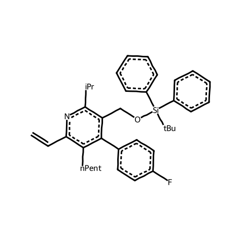 C=Cc1nc(C(C)C)c(CO[Si](c2ccccc2)(c2ccccc2)C(C)(C)C)c(-c2ccc(F)cc2)c1CCCCC